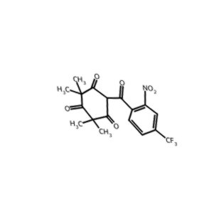 CC1(C)C(=O)C(C(=O)c2ccc(C(F)(F)F)cc2[N+](=O)[O-])C(=O)C(C)(C)C1=O